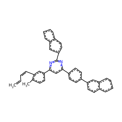 C=C/C=C\c1cc(-c2cc(-c3ccc(-c4ccc5ccccc5c4)cc3)nc(-c3ccc4ccccc4c3)n2)ccc1C